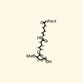 CCCCCC(=O)CCCCCNC(=O)CCCCOC1OC(CO)CCC1OC